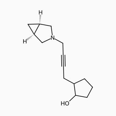 OC1CCCC1CC#CCN1C[C@H]2C[C@H]2C1